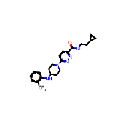 O=C(NCCC1CC1)c1ccc(N2CCC(Nc3ccccc3C(F)(F)F)CC2)nn1